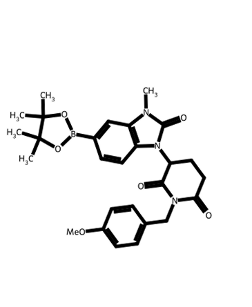 COc1ccc(CN2C(=O)CCC(n3c(=O)n(C)c4cc(B5OC(C)(C)C(C)(C)O5)ccc43)C2=O)cc1